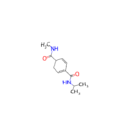 CNC(=O)C1C=CC(C(=O)NC(C)C)=CC1